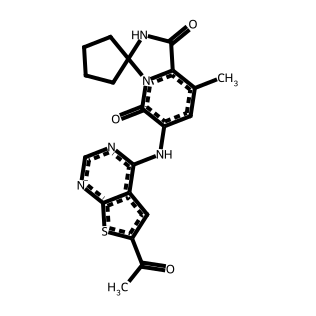 CC(=O)c1cc2c(Nc3cc(C)c4n(c3=O)C3(CCCC3)NC4=O)ncnc2s1